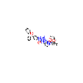 CC(C)C(OC(=O)C(C)(C)C)[n+]1cccc(CNC(=O)Nc2ccc(COc3ccccc3-c3ccccc3)cc2)c1